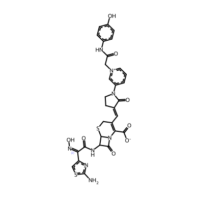 Nc1nc(/C(=N/O)C(=O)NC2C(=O)N3C(C(=O)[O-])=C(C=C4CCN(c5ccc[n+](CC(=O)Nc6ccc(O)cc6)c5)C4=O)CSC23)cs1